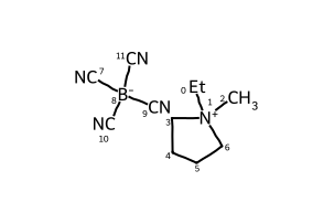 CC[N+]1(C)CCCC1.N#C[B-](C#N)(C#N)C#N